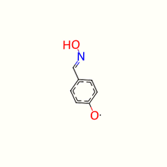 [O]c1ccc(C=NO)cc1